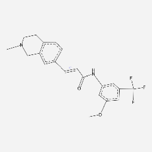 COc1cc(NC(=O)/C=C/c2ccc3c(c2)CN(C)CC3)cc(C(F)(F)F)c1